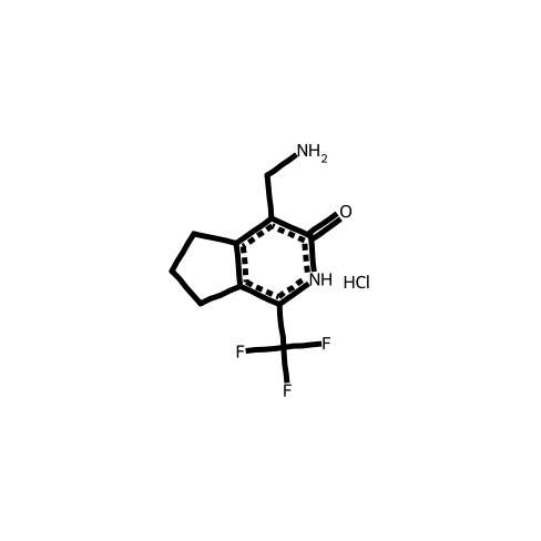 Cl.NCc1c2c(c(C(F)(F)F)[nH]c1=O)CCC2